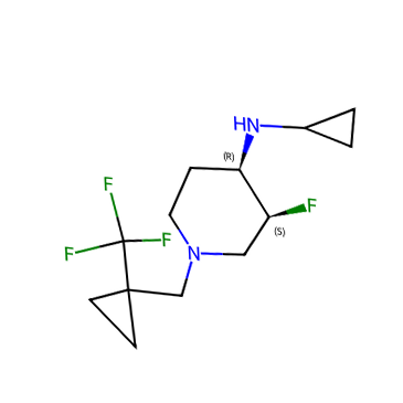 F[C@H]1CN(CC2(C(F)(F)F)CC2)CC[C@H]1NC1CC1